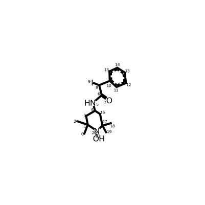 CC1(C)CC(NC(=O)C(I)c2ccccc2)CC(C)(C)N1O